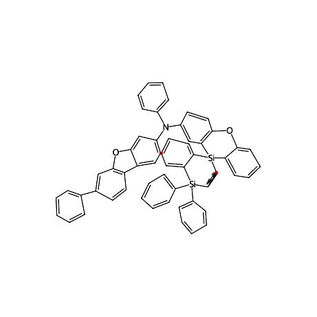 c1ccc(-c2ccc3c(c2)oc2cc(N(c4ccccc4)c4ccc5c(c4)[Si]4(c6ccccc6O5)c5ccccc5[Si](c5ccccc5)(c5ccccc5)c5ccccc54)ccc23)cc1